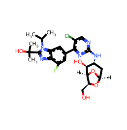 CC(C)n1c(C(C)(C)O)nc2c(F)cc(-c3nc(N[C@@H]4C[C@@H]5O[C@H]([C@H]4O)[C@H](CO)O5)ncc3Cl)cc21